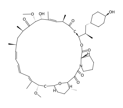 CO[C@H]1C[C@@H]2CC[C@@H](C)[C@@H](O2)C(=O)C(=O)N2CCCC[C@H]2C(=O)O[C@H]([C@H](C)C[C@H]2CC[C@H](O)CC2)CC(=O)[C@H](C)/C=C(\C)[C@@H](O)[C@@H](OC)C(=O)[C@H](C)C[C@H](C)/C=C/C=C/C=C/1C